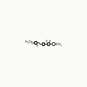 CCOc1ccc(CCc2ccc(-c3ccc(C4CCC(C)CC4)c(F)c3F)cc2)c(F)c1